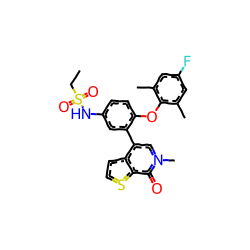 CCS(=O)(=O)Nc1ccc(Oc2c(C)cc(F)cc2C)c(-c2cn(C)c(=O)c3sccc23)c1